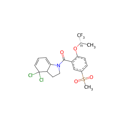 C[C@H](Oc1ccc(S(C)(=O)=O)cc1C(=O)N1CCC2C1=CC=CC2(Cl)Cl)C(F)(F)F